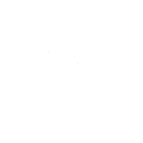 CC(CCC(=O)O)Oc1ccc(CCN)cc1